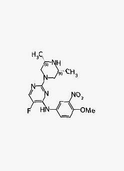 COc1ccc(Nc2nc(N3C[C@@H](C)N[C@@H](C)C3)ncc2F)cc1[N+](=O)[O-]